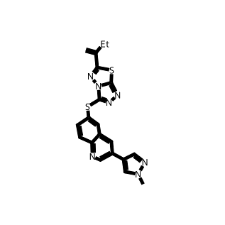 C=C(CC)c1nn2c(Sc3ccc4ncc(-c5cnn(C)c5)cc4c3)nnc2s1